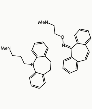 CNCCCN1c2ccccc2CCc2ccccc21.CNCCON=c1c2ccccc2ccc2ccccc12